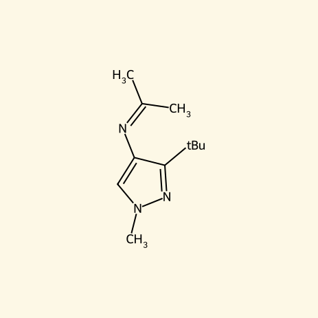 CC(C)=Nc1cn(C)nc1C(C)(C)C